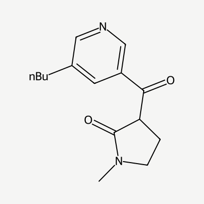 CCCCc1cncc(C(=O)C2CCN(C)C2=O)c1